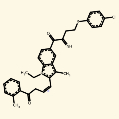 CCn1c(/C=C\CC(=O)c2ccccc2C)c(C)c2cc(C(=O)C(=N)CCSc3ccc(Cl)cc3)ccc21